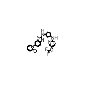 O=c1ccccn1-c1ccc2nc(N[C@H]3CC[C@H](Nc4ncc(OC(F)F)cn4)C3)sc2c1